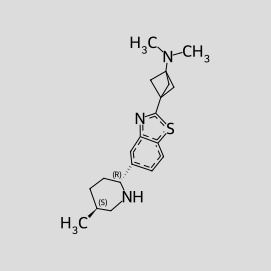 C[C@H]1CC[C@H](c2ccc3sc(C45CC(N(C)C)(C4)C5)nc3c2)NC1